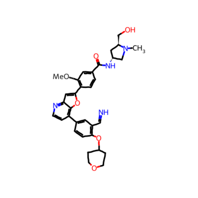 COc1cc(C(=O)N[C@@H]2C[C@@H](CO)N(C)C2)ccc1-c1cc2nccc(-c3ccc(OC4CCOCC4)c(C=N)c3)c2o1